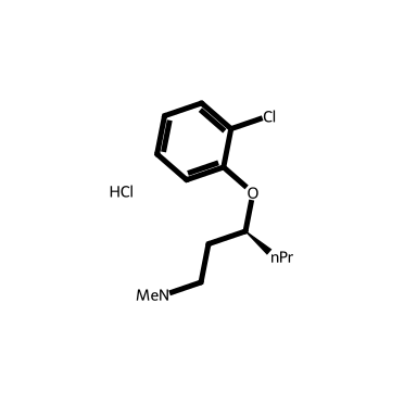 CCC[C@@H](CCNC)Oc1ccccc1Cl.Cl